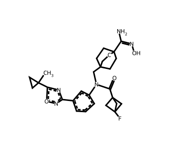 CC1(c2nc(-c3cccc(N(CC45CCC(/C(N)=N\O)(CC4)CC5)C(=O)C45CC(F)(C4)C5)c3)no2)CC1